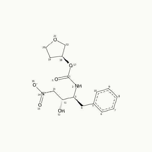 O=C(N[C@@H](Cc1ccccc1)[C@H](O)C[N+](=O)[O-])O[C@H]1CCOC1